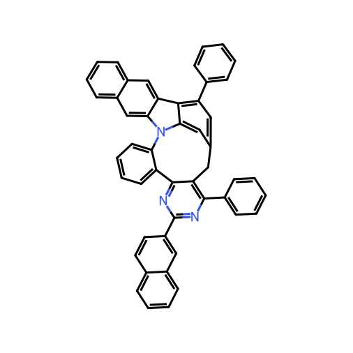 c1ccc(-c2nc(-c3ccc4ccccc4c3)nc3c2Cc2cc(-c4ccccc4)c4c5cc6ccccc6cc5n(c4c2)-c2ccccc2-3)cc1